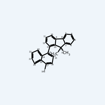 CC1(C)c2ccccc2-c2cccc(-c3ccc(I)c4ccccc34)c21